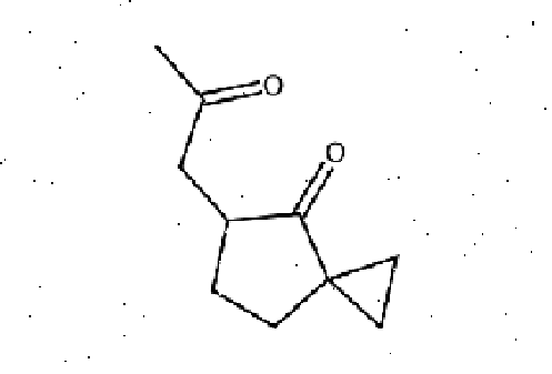 CC(=O)CC1CCC2(CC2)C1=O